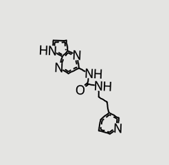 O=C(NCCc1cccnc1)Nc1cnc2[nH]ccc2n1